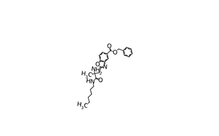 CCCCCCNC(=O)[C@](C)(N)Cc1nc2cc(C(=O)OCc3ccccc3)ccc2o1